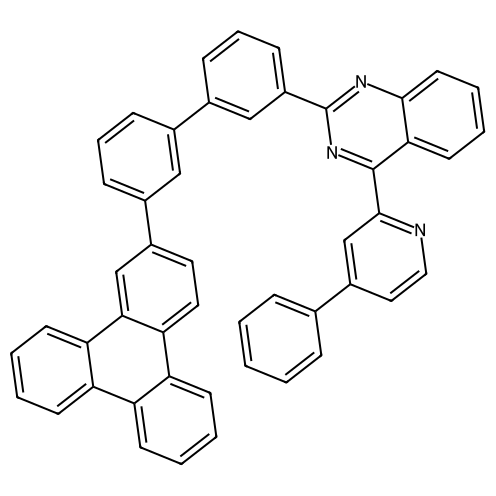 c1ccc(-c2ccnc(-c3nc(-c4cccc(-c5cccc(-c6ccc7c8ccccc8c8ccccc8c7c6)c5)c4)nc4ccccc34)c2)cc1